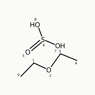 CCOCC.O=S(O)O